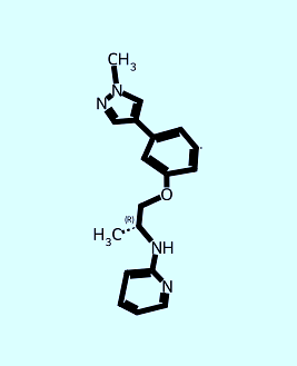 C[C@H](COc1c[c]cc(-c2cnn(C)c2)c1)Nc1ccccn1